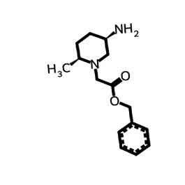 C[C@H]1CC[C@@H](N)CN1CC(=O)OCc1ccccc1